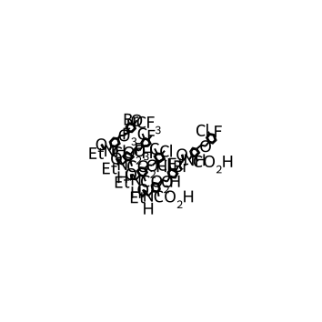 CCC(=O)Nc1ccc(COc2ccc(Br)c(Cl)c2)cc1C(=O)O.CCC(=O)Nc1ccc(COc2ccc(Cl)c(C(F)(F)F)c2)cc1C(=O)O.CCC(=O)Nc1ccc(COc2ccc(F)c(C(F)(F)F)c2)cc1C(=O)O.CCC(=O)Nc1ccc(COc2ccc(F)c(Cl)c2)cc1C(=O)O.CCC(=O)Nc1ccc(COc2ccc(OC(F)(F)F)c(Br)c2)cc1C(=O)O